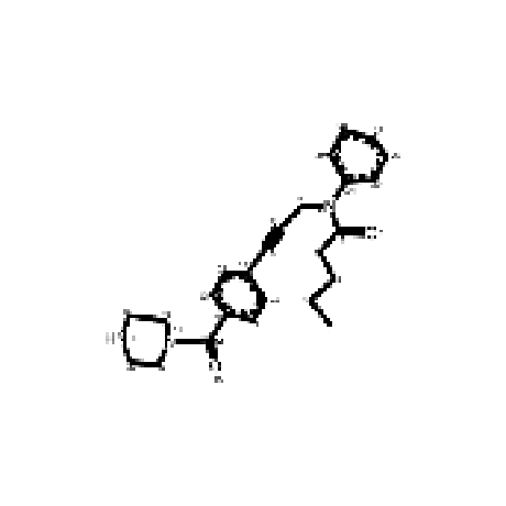 CCCCC(=O)N(CC#Cc1ccc(C(=O)N2CCNCC2)cc1)c1ccccc1